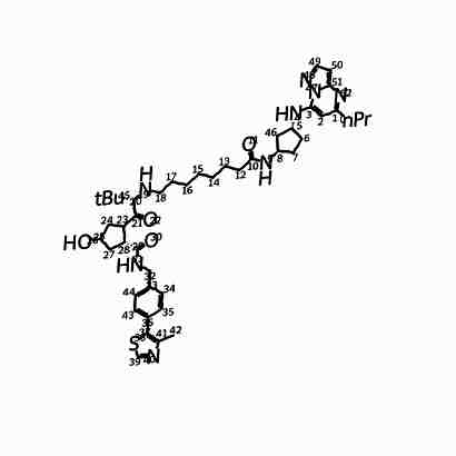 CCCc1cc(N[C@@H]2CC[C@@H](NC(=O)CCCCCCCN[C@H](C(=O)C3C[C@H](O)C[C@H]3C(=O)NCc3ccc(-c4scnc4C)cc3)C(C)(C)C)C2)n2nccc2n1